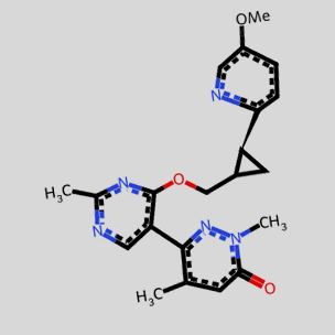 COc1ccc([C@H]2CC2COc2nc(C)ncc2-c2nn(C)c(=O)cc2C)nc1